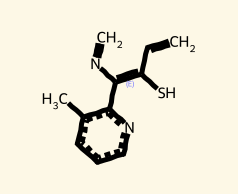 C=C/C(S)=C(\N=C)c1ncccc1C